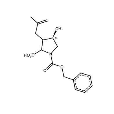 C=C(C)CC1C(C(=O)O)N(C(=O)OCc2ccccc2)C[C@@H]1O